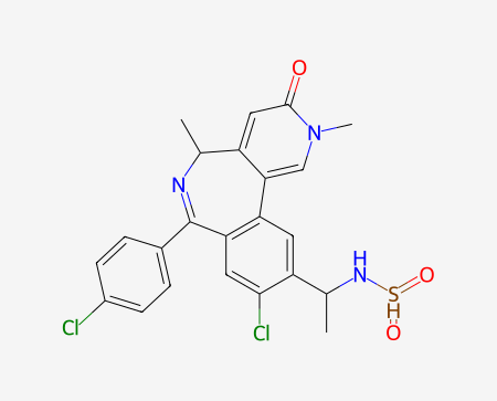 CC1N=C(c2ccc(Cl)cc2)c2cc(Cl)c(C(C)N[SH](=O)=O)cc2-c2cn(C)c(=O)cc21